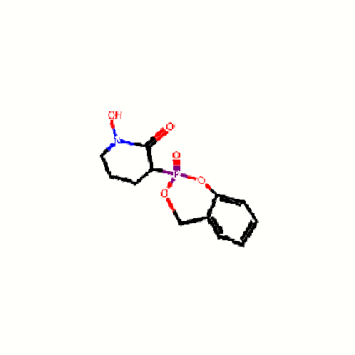 O=C1C(P2(=O)OCc3ccccc3O2)CCCN1O